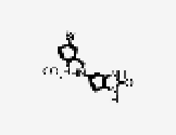 O=C(O)c1ccc(Br)cc1CNc1ccc2[nH]c(=O)[nH]c2c1